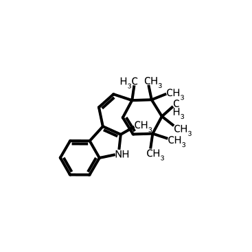 Cc1[nH]c2ccccc2c1/C=C\C1(C)C=CC(C)(C)C(C)(C)C1(C)C